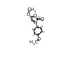 COc1ccc(-n2cc(OC)oc2=O)cc1